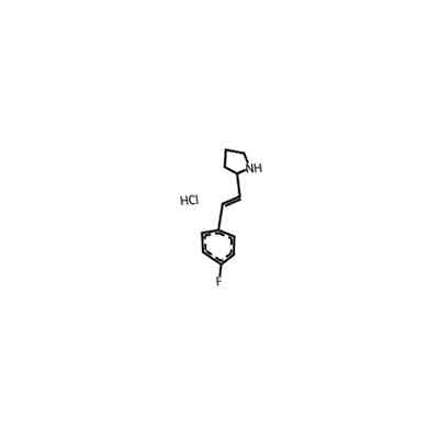 Cl.Fc1ccc(C=CC2CCCN2)cc1